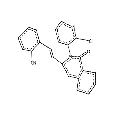 N#Cc1ccccc1C=Cc1nc2ccccc2c(=O)n1-c1cccnc1Cl